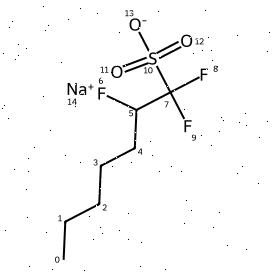 CCCCCC(F)C(F)(F)S(=O)(=O)[O-].[Na+]